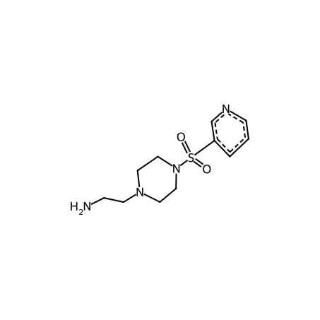 NCCN1CCN(S(=O)(=O)c2cccnc2)CC1